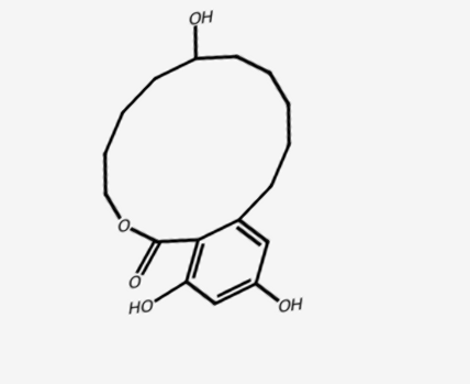 O=C1OCCCCC(O)CCCCCc2cc(O)cc(O)c21